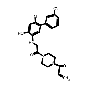 C=CC(=O)N1CCN(C(=O)CNc2cc(-c3cccc(C#N)c3)c(Cl)cc2O)CC1